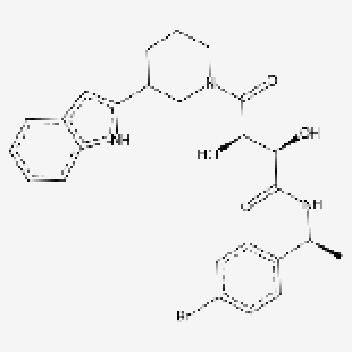 C[C@H](NC(=O)[C@H](O)[C@@H](O)C(=O)N1CCCC(c2cc3ccccc3[nH]2)C1)c1ccc(Br)cc1